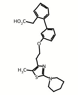 Cc1sc(N2CCCCC2)nc1CCOc1cccc(-c2ccccc2CC(=O)O)c1